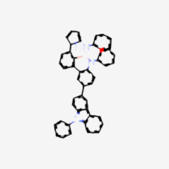 C1=CC(c2cccc3c2B(Nc2ccccc2)N(c2ccccc2)c2ccc(-c4ccc5c(c4)c4ccccc4n5-c4ccccc4)cc2-3)C=C1